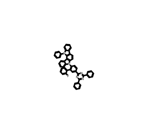 Fc1ccccc1-c1cc(-c2nc(-c3ccccc3)nc(-c3ccccc3)n2)ccc1-n1c2ccccc2c2c1ccc1c3ccccc3n(-c3ccccc3)c12